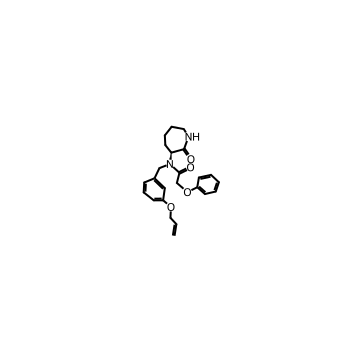 C=CCOc1cccc(CN(C(=O)COc2ccccc2)[C@H]2CCCCNC2=O)c1